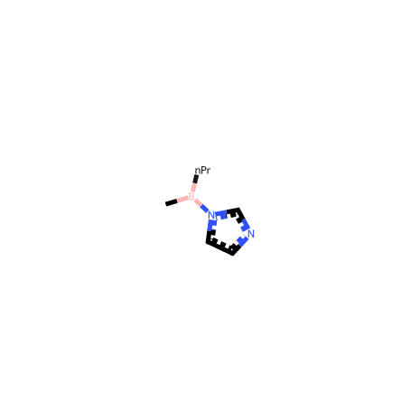 CCCB(C)n1ccnc1